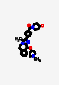 Cc1c(-c2ccc(C(=O)N3CCC(=O)CC3)cc2)nc2n1CCc1ccccc1C2OC1CCN(C)CC1